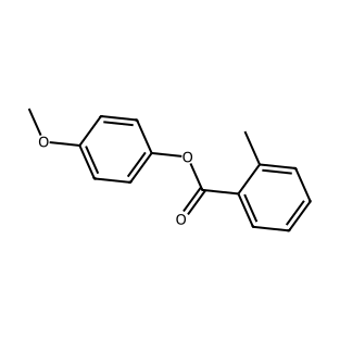 COc1ccc(OC(=O)c2ccccc2C)cc1